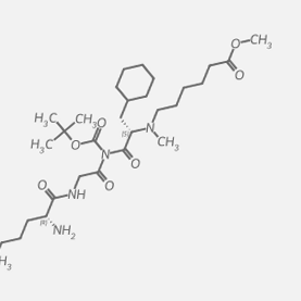 CCCC[C@@H](N)C(=O)NCC(=O)N(C(=O)OC(C)(C)C)C(=O)[C@H](CC1CCCCC1)N(C)CCCCCC(=O)OC